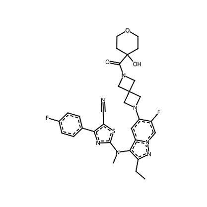 CCc1nn2cc(F)c(N3CC4(CN(C(=O)C5(O)CCOCC5)C4)C3)cc2c1N(C)c1nc(-c2ccc(F)cc2)c(C#N)s1